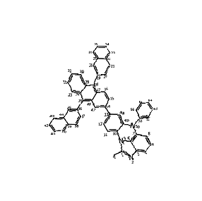 Cc1nc2cccc3c2n1-c1ccc(-c2ccc4c(-c5ccc6ccccc6c5)c5ccccc5c(-c5ccc6ccccc6c5)c4c2)cc1N3c1ccccc1